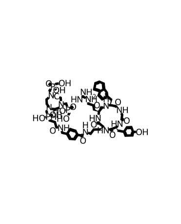 N=C(N)NCCC[C@@H]1NC(=O)[C@H](CCCNC(=O)c2ccc(CNC(=O)CC[PH](O)(O)CN3CCN(CP(=O)(O)CO)CCN(CP(=O)(O)CO)CC3)cc2)NC(=O)[C@@H](Cc2ccc(O)cc2)NC(=O)CNC(=O)[C@H](Cc2ccc3ccccc3c2)NC1=O